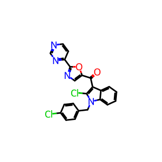 O=C(c1cnc(-c2ccncn2)o1)c1c(Cl)n(Cc2ccc(Cl)cc2)c2ccccc12